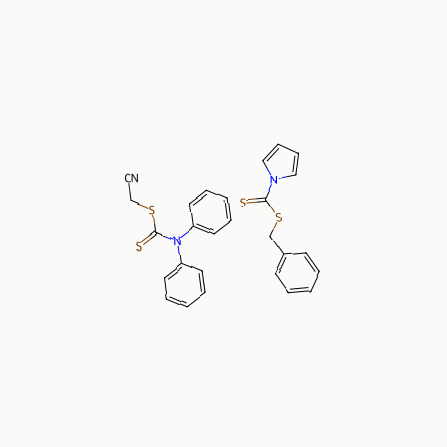 N#CCSC(=S)N(c1ccccc1)c1ccccc1.S=C(SCc1ccccc1)n1cccc1